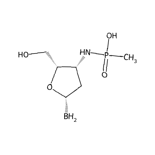 B[C@H]1C[C@@H](NP(C)(=O)O)[C@@H](CO)O1